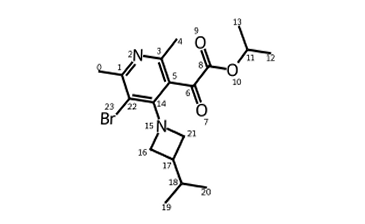 Cc1nc(C)c(C(=O)C(=O)OC(C)C)c(N2CC(C(C)C)C2)c1Br